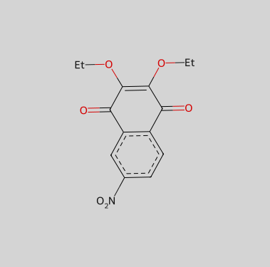 CCOC1=C(OCC)C(=O)c2cc([N+](=O)[O-])ccc2C1=O